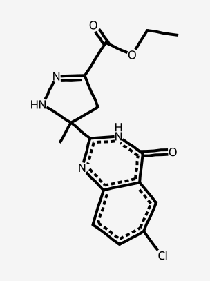 CCOC(=O)C1=NNC(C)(c2nc3ccc(Cl)cc3c(=O)[nH]2)C1